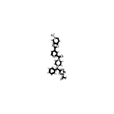 CC(=O)N1CCc2oc(-c3ccnc(C(=O)N4CCN([C@H](c5ccccc5)c5nnn(C(F)F)n5)CC4)c3)nc2C1